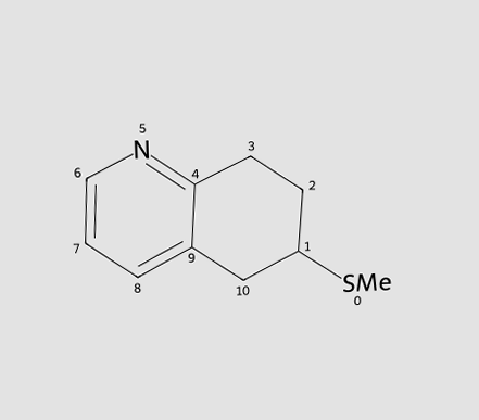 CSC1CCc2ncccc2C1